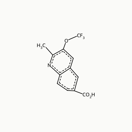 Cc1nc2ccc(C(=O)O)cc2cc1OC(F)(F)F